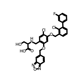 O=C(O)C(CO)NCc1cc(Cl)c(OCc2cccc(-c3cccc(F)c3)c2Cl)cc1OCc1ccc2nonc2c1